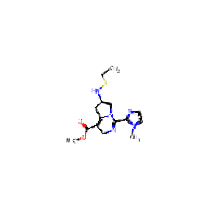 CCSNC1CC2=C(C(=O)OC)CN=C(c3nccn3C)N2C1